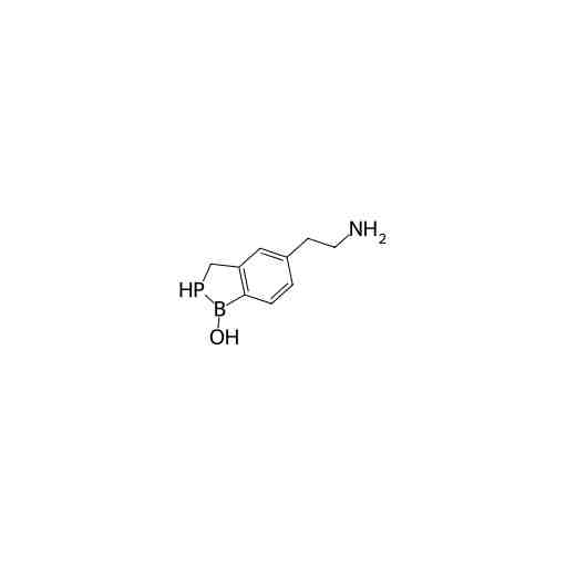 NCCc1ccc2c(c1)CPB2O